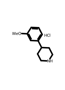 COc1cccc(C2CCNCC2)c1.Cl